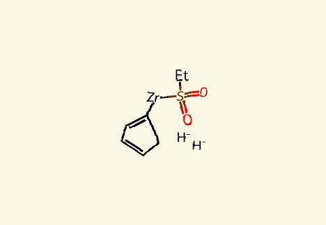 CC[S](=O)(=O)[Zr][C]1=CC=CC1.[H-].[H-]